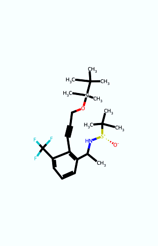 CC(N[S@@+]([O-])C(C)(C)C)c1cccc(C(F)(F)F)c1C#CCO[Si](C)(C)C(C)(C)C